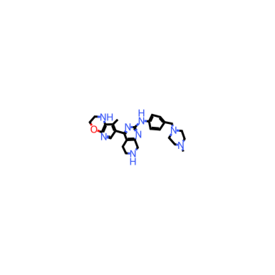 Cc1c(-c2nc(Nc3ccc(CN4CCN(C)CC4)cc3)nc3c2CCNC3)cnc2c1NCCO2